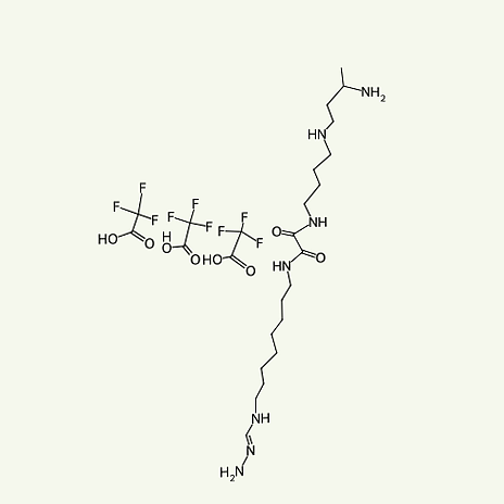 CC(N)CCNCCCCNC(=O)C(=O)NCCCCCCCCNC=NN.O=C(O)C(F)(F)F.O=C(O)C(F)(F)F.O=C(O)C(F)(F)F